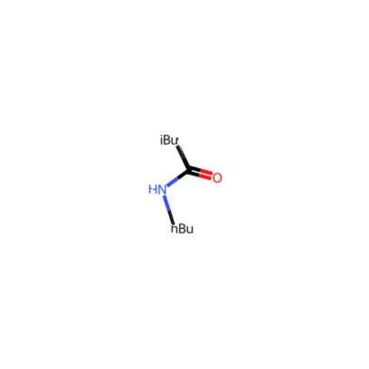 CCCCNC(=O)C(C)CC